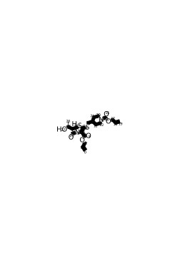 C=CCOC(=O)C1=C(SCC2CCN(C(=O)OCC=C)CC2)S[C@@H]2[C@@H]([C@@H](C)O)C(=O)N12